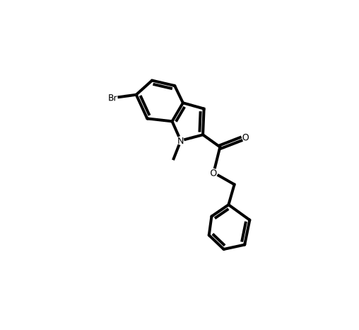 Cn1c(C(=O)OCc2ccccc2)cc2ccc(Br)cc21